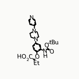 CCC(Oc1ccc(N2CCN(c3ccncc3)CC2)cc1NC(=O)OC(C)(C)C)C(=O)O